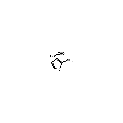 Nc1cccs1.O=CO